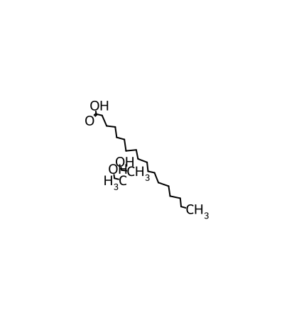 CCCCCCCCCCCCCCCCCC(=O)O.CCO.CCO